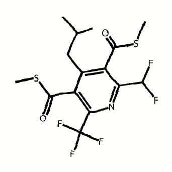 CSC(=O)c1c(C(F)F)nc(C(F)(F)F)c(C(=O)SC)c1CC(C)C